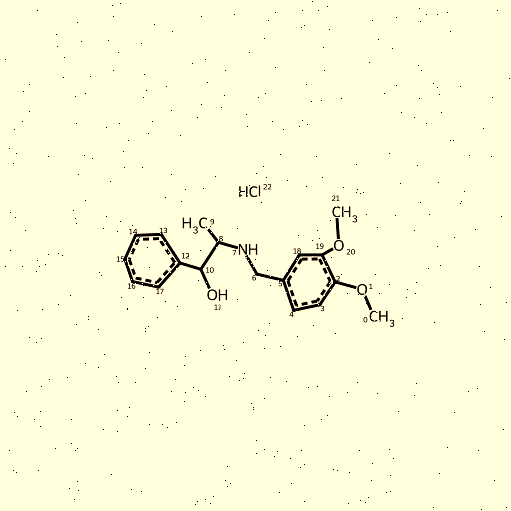 COc1ccc(CNC(C)C(O)c2ccccc2)cc1OC.Cl